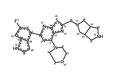 Fc1cc(-c2nc(N3CCOCC3)c3nc(CN4CC5CNCC5C4)sc3n2)c2cc[nH]c2c1